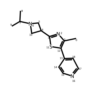 Cc1nc(C2CN(C(C)C)C2)sc1-c1ccncc1